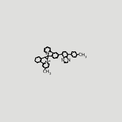 Cc1ccc(-c2ccc(-c3ccc4c(c3)-c3cccc[n+]3C43C4c5ccccc5-c5cc(C)cc[n+]5C43)c3nccnc23)cc1